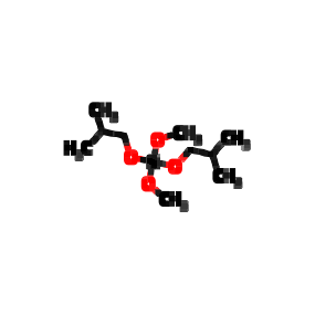 CO[Si](OC)(OCC(C)C)OCC(C)C